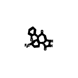 O=C1NNC2=CC(=O)N(c3ccccc3Cl)c3cc(C(F)(F)F)ccc3N12